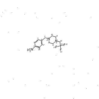 Nc1ccc(CN2CCN(CC(F)(F)F)CC2)cn1